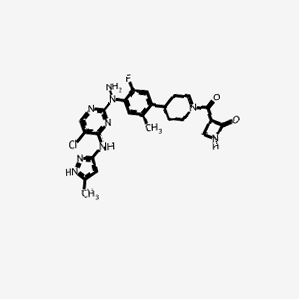 Cc1cc(Nc2nc(N(N)c3cc(C)c(C4CCN(C(=O)C5CNC5=O)CC4)cc3F)ncc2Cl)n[nH]1